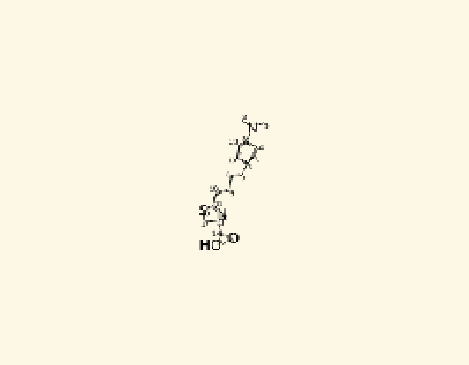 CN(C)c1ccc(C=CC=CC2=NC(C(=O)O)CS2)cc1